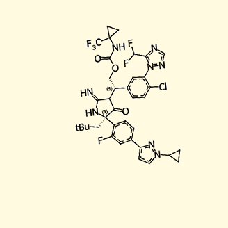 CC(C)(C)C[C@]1(c2ccc(-c3ccn(C4CC4)n3)cc2F)NC(=N)C([C@H](COC(=O)NC2(C(F)(F)F)CC2)c2ccc(Cl)c(-n3ncnc3C(F)F)c2)C1=O